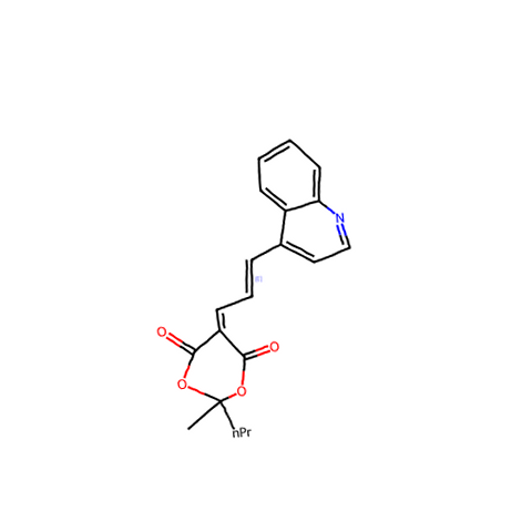 CCCC1(C)OC(=O)C(=C/C=C/c2ccnc3ccccc23)C(=O)O1